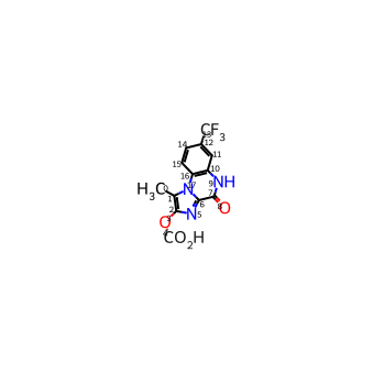 Cc1c(OC(=O)O)nc2c(=O)[nH]c3cc(C(F)(F)F)ccc3n12